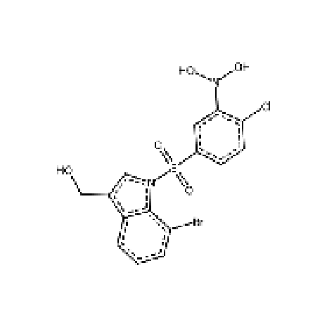 O=S(=O)(c1ccc(Cl)c(N(O)O)c1)n1cc(CO)c2cccc(Br)c21